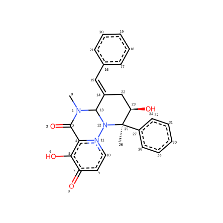 CN1C(=O)c2c(O)c(=O)ccn2N2C1/C(=C/c1ccccc1)C[C@@H](O)[C@@]2(C)c1ccccc1